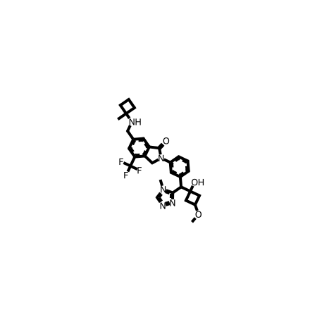 COC1CC(O)(C(c2cccc(N3Cc4c(cc(CNC5(C)CCC5)cc4C(F)(F)F)C3=O)c2)c2nncn2C)C1